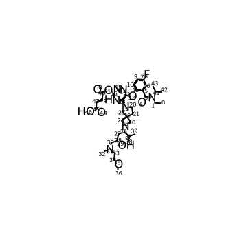 CCN(C(=O)c1cc(F)ccc1Oc1nncnc1N1CCC2(C1)CN([C@H](C[C@H](O)CN(C)CCOC)C(C)C)C2)C(C)C.O=C(O)/C=C/C(=O)O